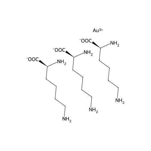 NCCCC[C@H](N)C(=O)[O-].NCCCC[C@H](N)C(=O)[O-].NCCCC[C@H](N)C(=O)[O-].[Au+3]